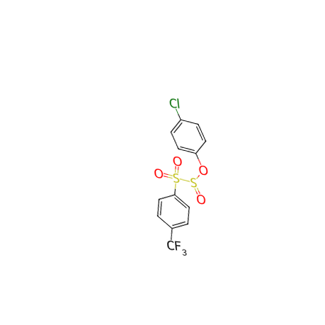 O=S(Oc1ccc(Cl)cc1)S(=O)(=O)c1ccc(C(F)(F)F)cc1